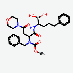 CC(C)(C)OC(=O)N(Cc1ccccc1)C(CC(=O)N1CCOCC1)C(=O)NC(CCCc1ccccc1)B(O)O